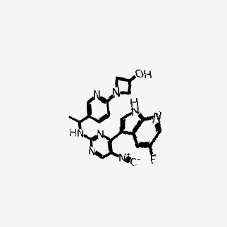 [C-]#[N+]c1cnc(NC(C)c2ccc(N3CC(O)C3)nc2)nc1-c1c[nH]c2ncc(F)cc12